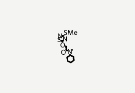 CSc1nsc(OCC(=O)N(C)C2CCCCC2)n1